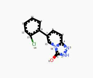 O=c1[nH]nc2ccc(-c3ccccc3Cl)cn12